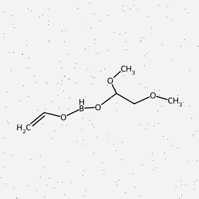 C=COBOC(COC)OC